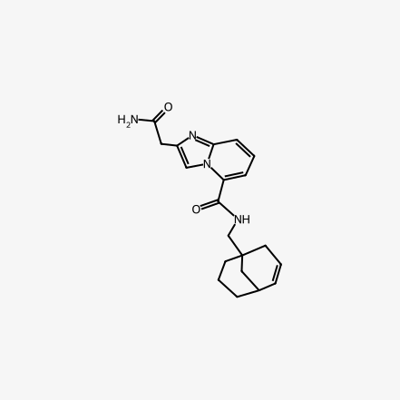 NC(=O)Cc1cn2c(C(=O)NCC34CC=CC(CCC3)C4)cccc2n1